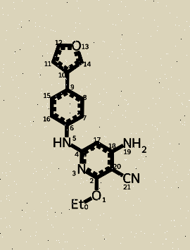 CCOc1nc(Nc2ccc(-c3ccoc3)cc2)cc(N)c1C#N